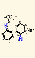 O=C(O)CNc1ccccc1.[NH-]c1ccccc1.[Na+]